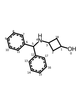 OC1CC(NC(c2ccccc2)c2ccccc2)C1